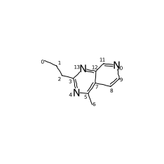 CCCc1nc(C)c2ccncc2n1